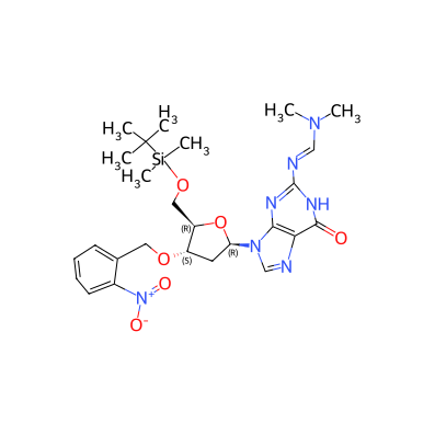 CN(C)C=Nc1nc2c(ncn2[C@H]2C[C@H](OCc3ccccc3[N+](=O)[O-])[C@@H](CO[Si](C)(C)C(C)(C)C)O2)c(=O)[nH]1